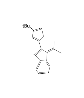 CC(C)=C1C(C2=CC(C(C)(C)C)=CC2)=[C]c2ccccc21